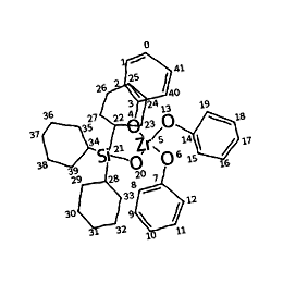 c1ccc([O][Zr]([O]c2ccccc2)([O]c2ccccc2)[O][Si](C2CCCCC2)(C2CCCCC2)C2CCCCC2)cc1